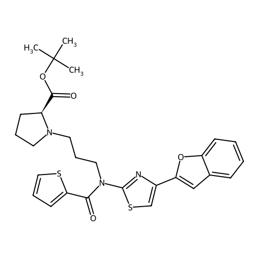 CC(C)(C)OC(=O)[C@@H]1CCCN1CCCN(C(=O)c1cccs1)c1nc(-c2cc3ccccc3o2)cs1